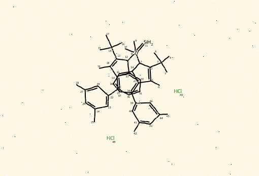 CC1=C(C(C)(C)C)[CH]([Zr]([CH3])([CH3])(=[SiH2])[CH]2C(C(C)(C)C)=C(C)c3c(-c4cc(C)cc(C)c4)cccc32)c2cccc(-c3cc(C)cc(C)c3)c21.Cl.Cl